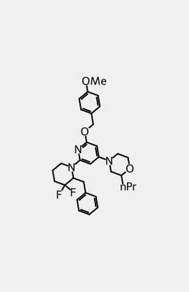 CCCC1CN(c2cc(OCc3ccc(OC)cc3)nc(N3CCCC(F)(F)C3Cc3ccccc3)c2)CCO1